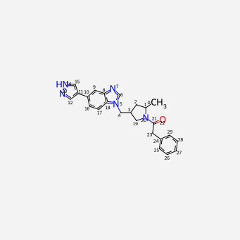 CC1CC(Cn2cnc3cc(-c4cn[nH]c4)ccc32)CN1C(=O)Cc1ccccc1